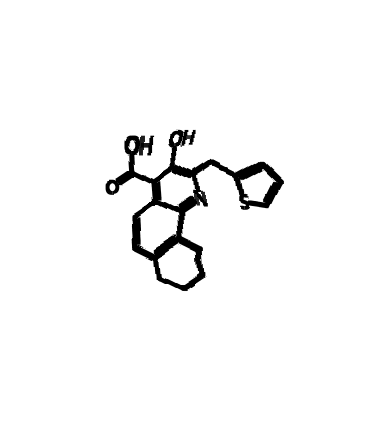 O=C(O)c1c(O)c(Cc2cccs2)nc2c3c(ccc12)CCCC3